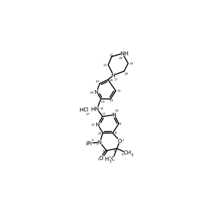 CC(C)N1C(=O)C(C)(C)Oc2cnc(Nc3ccc(N4CCNCC4)cn3)nc21.Cl